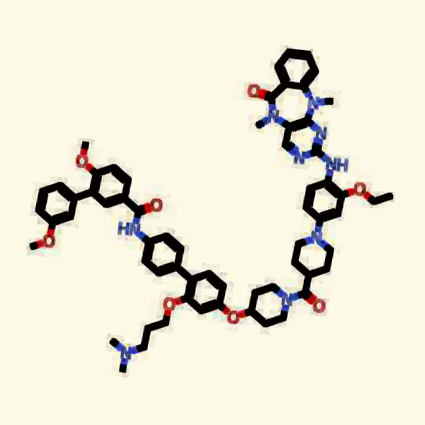 CCOc1cc(N2CCC(C(=O)N3CCC(Oc4ccc(-c5ccc(NC(=O)c6ccc(OC)c(-c7cccc(OC)c7)c6)cc5)c(OCCCN(C)C)c4)CC3)CC2)ccc1Nc1ncc2c(n1)N(C)c1ccccc1C(=O)N2C